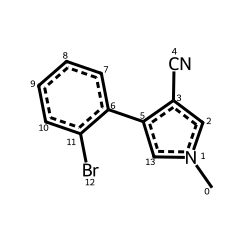 Cn1cc(C#N)c(-c2ccccc2Br)c1